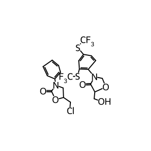 O=C1C(CO)OCN1c1ccc(SC(F)(F)F)cc1SC(F)(F)F.O=C1OC(CCl)CN1c1ccccc1